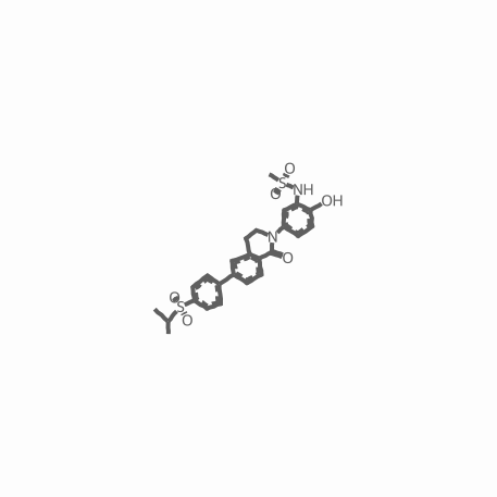 CC(C)S(=O)(=O)c1ccc(-c2ccc3c(c2)CCN(c2ccc(O)c(NS(C)(=O)=O)c2)C3=O)cc1